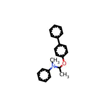 CC(Oc1ccc(-c2ccccc2)cc1)N(C)c1ccccc1